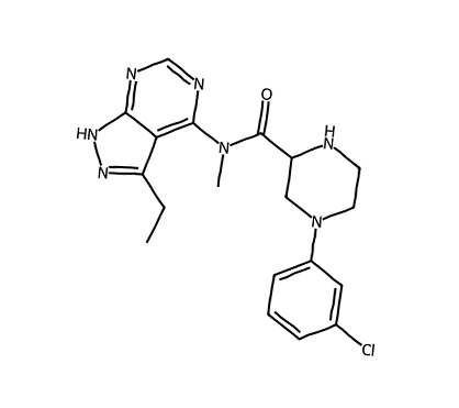 CCc1n[nH]c2ncnc(N(C)C(=O)C3CN(c4cccc(Cl)c4)CCN3)c12